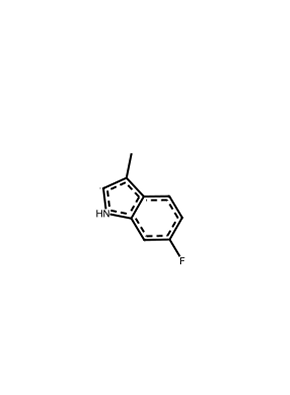 Cc1[c][nH]c2cc(F)ccc12